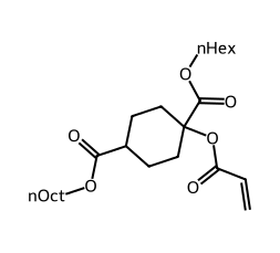 C=CC(=O)OC1(C(=O)OCCCCCC)CCC(C(=O)OCCCCCCCC)CC1